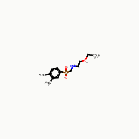 COc1ccc(S(=O)(=O)CNCCOCC(=O)O)cc1OC